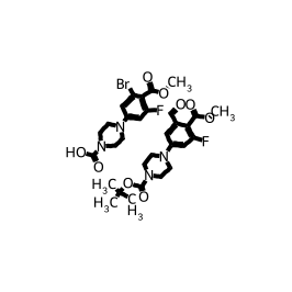 COC(=O)c1c(F)cc(N2CCN(C(=O)O)CC2)cc1Br.COC(=O)c1c(F)cc(N2CCN(C(=O)OC(C)(C)C)CC2)cc1C=O